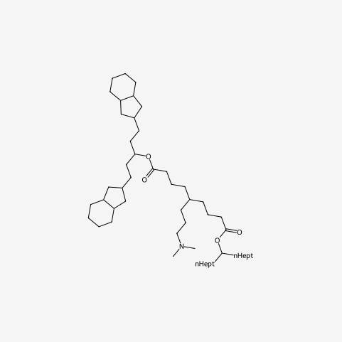 CCCCCCCC(CCCCCCC)OC(=O)CCCC(CCCC(=O)OC(CCC1CC2CCCCC2C1)CCC1CC2CCCCC2C1)CCCN(C)C